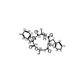 C[C@@H]1CC(=O)N[C@H](CC2=CCCC=C2)C(=O)N[C@H](C)C(=O)N[C@H](Cc2ccccc2)C(=O)O1